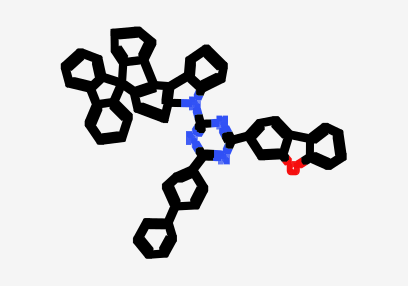 c1ccc(-c2ccc(-c3nc(-c4ccc5c(c4)oc4ccccc45)nc(-n4c5ccccc5c5c6c(ccc54)C4(c5ccccc5-c5ccccc54)c4ccccc4-6)n3)cc2)cc1